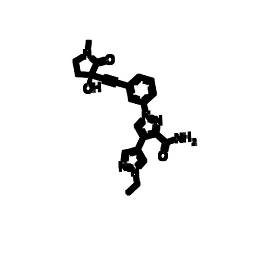 CCn1cc(-c2cn(-c3cccc(C#C[C@]4(O)CCN(C)C4=O)c3)nc2C(N)=O)cn1